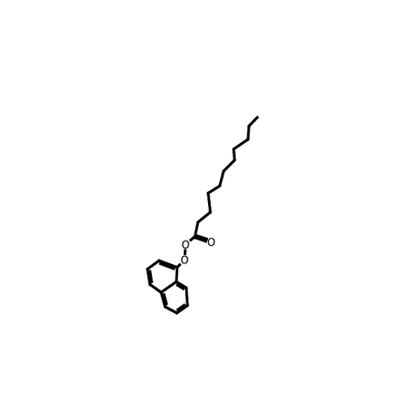 CCCCCCCCCCC(=O)OOc1cccc2ccccc12